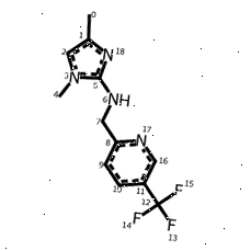 Cc1cn(C)c(NCc2ccc(C(F)(F)F)cn2)n1